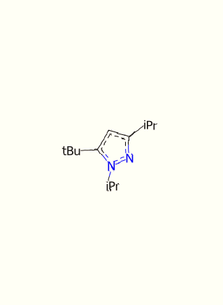 CC(C)c1cc(C(C)(C)C)n(C(C)C)n1